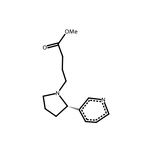 COC(=O)CCCN1CCC[C@H]1c1cccnc1